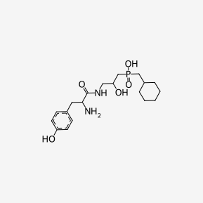 NC(Cc1ccc(O)cc1)C(=O)NCC(O)CP(=O)(O)CC1CCCCC1